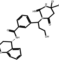 CCC1(CC)CC(=O)N(C(CCO)c2cccc(C(=O)N[C@H]3CCOc4ccccc43)c2)C(=N)N1